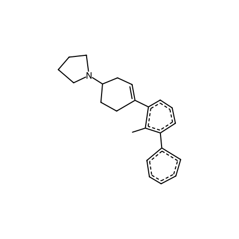 Cc1c(C2=CCC(N3CCCC3)CC2)cccc1-c1ccccc1